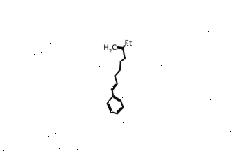 C=C(CC)CCCCC=Cc1ccccc1